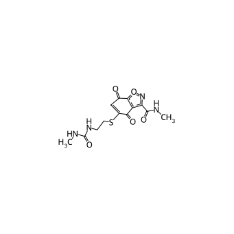 CNC(=O)NCCSC1=CC(=O)c2onc(C(=O)NC)c2C1=O